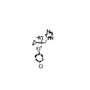 OC(COc1ccc(Cl)cc1)(Cn1cncn1)C1CC1